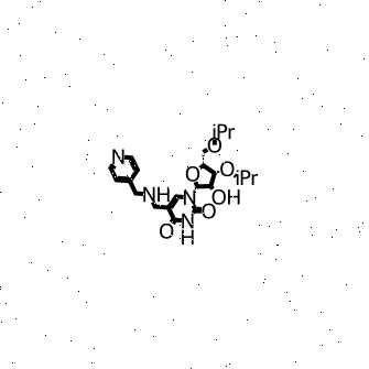 CC(C)OC[C@H]1O[C@@H](n2cc(CNCc3ccncc3)c(=O)[nH]c2=O)C(O)[C@H]1OC(C)C